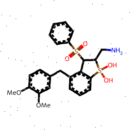 COc1ccc(Cc2cccc3c2C(S(=O)(=O)c2ccccc2)C(CN)S3(O)O)cc1OC